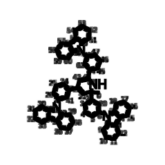 CC1(c2cccc(-n3c4ccccc4c4ccccc43)c2)C=C(c2cccc(-n3c4ccccc4c4ccccc43)c2)C=C(c2cccc(-n3c4ccccc4c4ccccc43)c2)N1